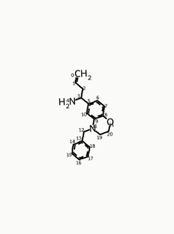 C=CCC(N)c1ccc2c(c1)N(Cc1ccccc1)CCO2